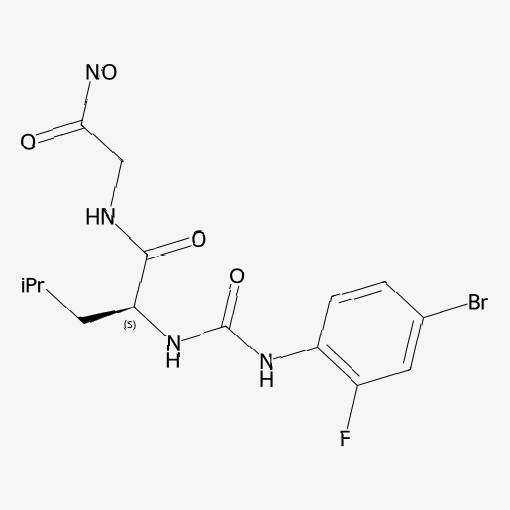 CC(C)C[C@H](NC(=O)Nc1ccc(Br)cc1F)C(=O)NCC(=O)N=O